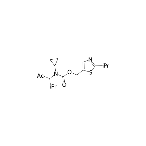 CC(=O)C(C(C)C)N(C(=O)OCc1cnc(C(C)C)s1)C1CC1